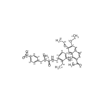 CCOc1cc2ncc(C(N)=O)c(Nc3cccc(CNC(=O)[C@H](N)Cc4ccc([N+](=O)[O-])cc4)c3CC)c2cc1OCC